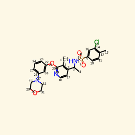 CCc1c(C(C)NS(=O)(=O)c2ccc(C)c(Cl)c2)ccnc1Oc1cccc(N2CCOCC2)c1